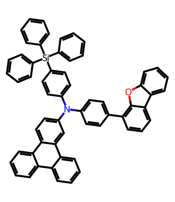 c1ccc([Si](c2ccccc2)(c2ccccc2)c2ccc(N(c3ccc(-c4cccc5c4oc4ccccc45)cc3)c3ccc4c5ccccc5c5ccccc5c4c3)cc2)cc1